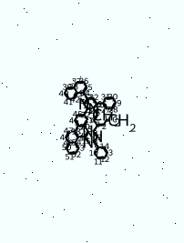 C=C/C=C(\C=C)c1nc(-c2ccccc2)nc(-c2c(-c3ccc(-c4nc(-c5ccccc5)cc(-c5cccc6ccccc56)n4)cc3)ccc3ccccc23)n1